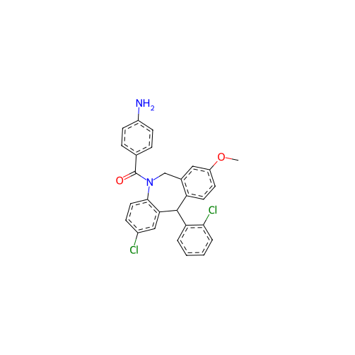 COc1ccc2c(c1)CN(C(=O)c1ccc(N)cc1)c1ccc(Cl)cc1C2c1ccccc1Cl